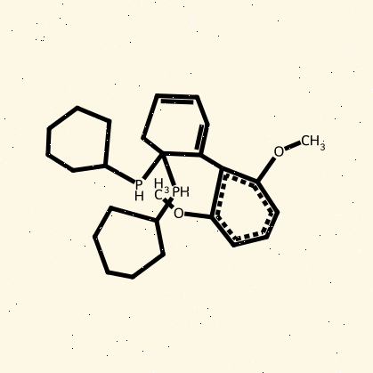 COc1cccc(OC)c1C1=CC=CCC1(PC1CCCCC1)PC1CCCCC1